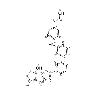 CN1CC[C@@](O)(c2cc(-c3cccc(-c4ccnc(Nc5ccc(CCO)cn5)n4)n3)no2)C1=O